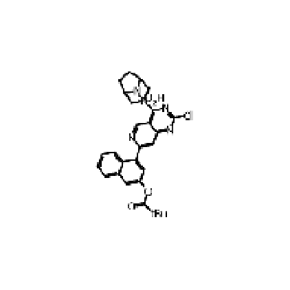 CC(C)(C)C(=O)Oc1cc(-c2cc3nc(Cl)nc(N4CC5CCC(C4)N5C(=O)O)c3cn2)c2ccccc2c1